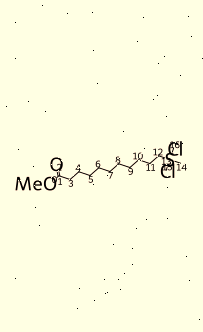 COC(=O)CCCCCCCCCCS(C)(Cl)Cl